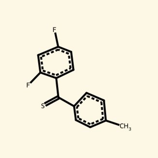 Cc1ccc(C(=S)c2ccc(F)cc2F)cc1